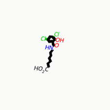 O=C(O)CCCCCCCNC(=O)c1cc(Cl)cc(Cl)c1O